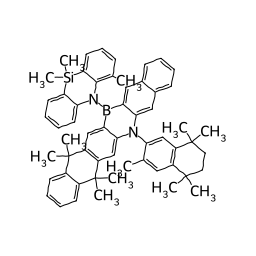 Cc1cc2c(cc1N1c3cc4c(cc3B(N3c5ccccc5[Si](C)(C)c5cccc(C)c53)c3cc5ccccc5cc31)C(C)(C)c1ccccc1C4(C)C)C(C)(C)CCC2(C)C